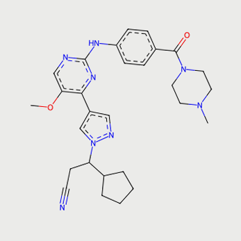 COc1cnc(Nc2ccc(C(=O)N3CCN(C)CC3)cc2)nc1-c1cnn(C(CC#N)C2CCCC2)c1